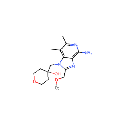 CCOCc1nc2c(N)nc(C)c(C)c2n1CC1(O)CCOCC1